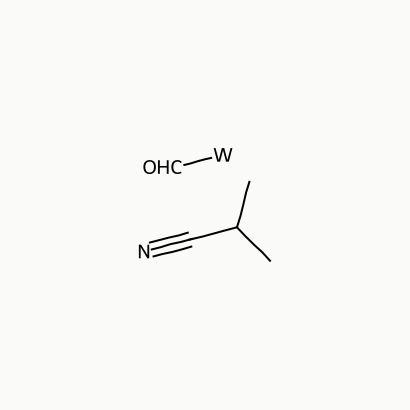 CC(C)C#N.O=[CH][W]